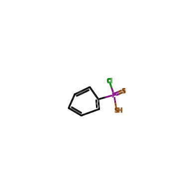 S=P(S)(Cl)c1ccccc1